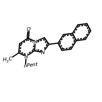 CCCCCn1c(C)cc(=O)n2cc(-c3ccc4ccccc4c3)nc12